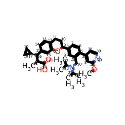 COc1cc(-c2ccc(C3CCc4ccc([C@H](C5CC5)[C@H](C)C(=O)O)cc4O3)cc2CN(C(C)C)C(C)C)ccn1